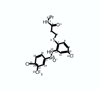 CC(C)NC(=O)CCSc1ccc(Cl)cc1N[S+]([O-])c1ccc(Cl)c(C(F)(F)F)c1